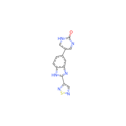 O=c1ncc(-c2ccc3[nH]c(-c4cnsn4)nc3c2)c[nH]1